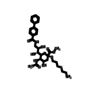 COC(=O)[C@@]1(OCCCSCCN)C[C@@H](O)[C@@H](NC(C)=O)C([C@H](O)[C@H](O)CNC(=O)c2ccc(-c3ccccc3)cc2)O1